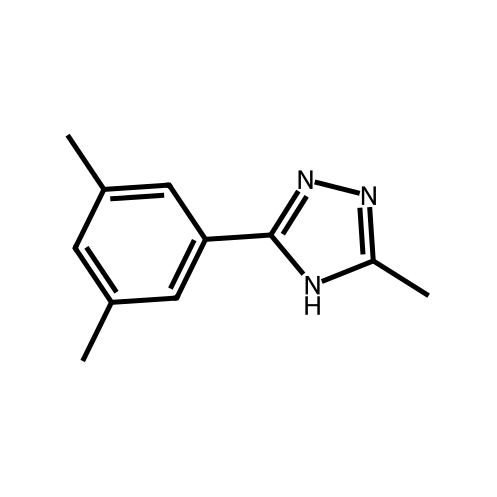 Cc1cc(C)cc(-c2nnc(C)[nH]2)c1